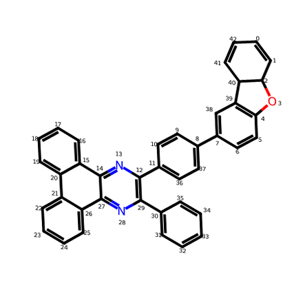 C1=CC2Oc3ccc(-c4ccc(-c5nc6c7ccccc7c7ccccc7c6nc5-c5ccccc5)cc4)cc3C2C=C1